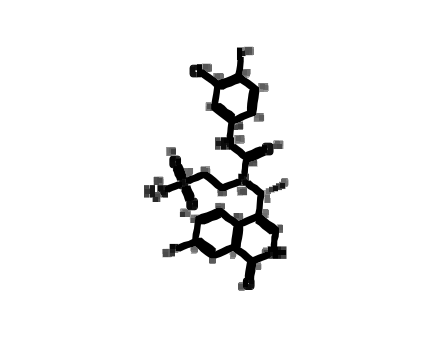 C[C@H](c1c[nH]c(=O)c2cc(F)ccc12)N(CCS(N)(=O)=O)C(=O)Nc1ccc(F)c(Cl)c1